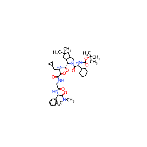 CN(C)C(=O)[C@@H](NC(=O)CNC(=O)C(=O)C(CC1CC1)NC(=O)[C@@H]1C2CC(C)(C)CC2CN1C(=O)[C@@H](NC(=O)OC(C)(C)C)C1CCCCC1)c1ccccc1